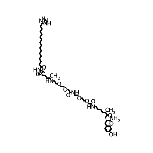 C=C(CCCS(=O)(=O)NC(=O)CCCCCCCCCCCCCCCc1nnn[nH]1)NCCOCCOCC(=O)NCCOCCOCC(=O)NCCCC[C@H](C)C(=O)C[C@@H](Cc1ccc(O)cc1)C(N)=O